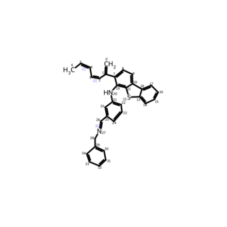 C=C(/C=C\C=C/C)c1ccc2c(sc3ccccc32)c1Nc1cccc(/C=N/Cc2ccccc2)c1